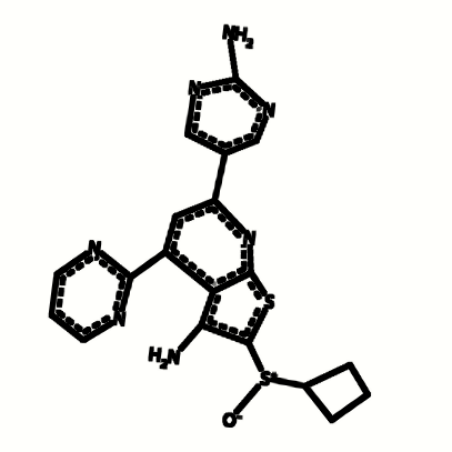 Nc1ncc(-c2cc(-c3ncccn3)c3c(N)c([S+]([O-])C4CCC4)sc3n2)cn1